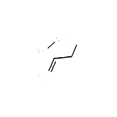 C=CCCl.CN